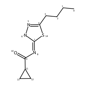 CCCCC1=N[N]C(=NC(=O)C2CC2)S1